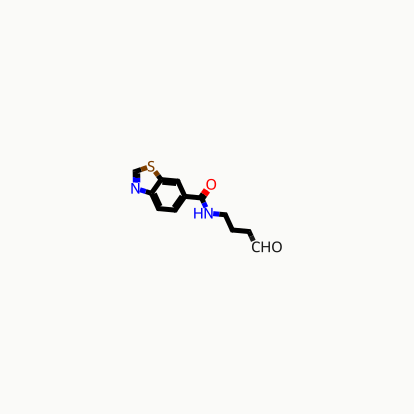 O=CCCCNC(=O)c1ccc2ncsc2c1